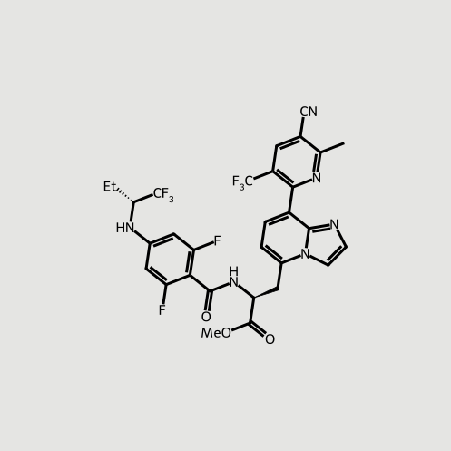 CC[C@@H](Nc1cc(F)c(C(=O)N[C@@H](Cc2ccc(-c3nc(C)c(C#N)cc3C(F)(F)F)c3nccn23)C(=O)OC)c(F)c1)C(F)(F)F